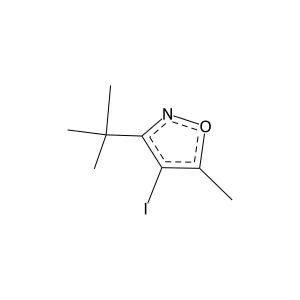 Cc1onc(C(C)(C)C)c1I